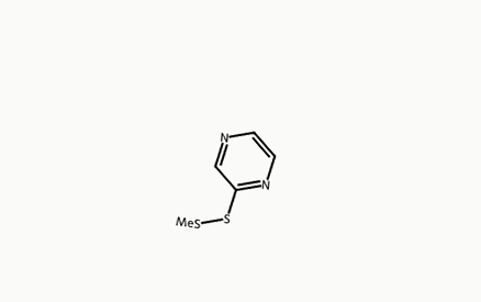 CSSc1cnccn1